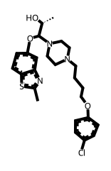 Cc1nc2cc(OC([C@@H](C)O)N3CCN(CCCCOc4ccc(Cl)cc4)CC3)ccc2s1